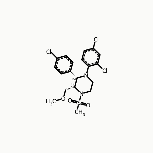 COC[C@@H]1[C@H](c2ccc(Cl)cc2)N(c2ccc(Cl)cc2Cl)CCN1S(C)(=O)=O